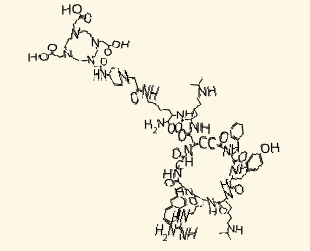 CC(C)NCCCCC(NC(=O)C1CCC(=O)NC(Cc2ccccc2)C(=O)NC(Cc2ccc(O)cc2)C(=O)NC(CCCCNC(C)C)C(=O)N[C@H](CCCNC(=N)N)C(=O)NC(Cc2ccc3ccccc3c2)C(=O)NCC(=O)N1)C(=O)NC(CCCCNC(=O)CN1CCC(NC(=O)CN2CCN(CC(=O)O)CCN(CC(=O)O)CCN(CC(=O)O)CC2)CC1)C(N)=O